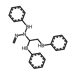 C=NN(Bc1ccccc1)C(Bc1ccccc1)CBc1ccccc1